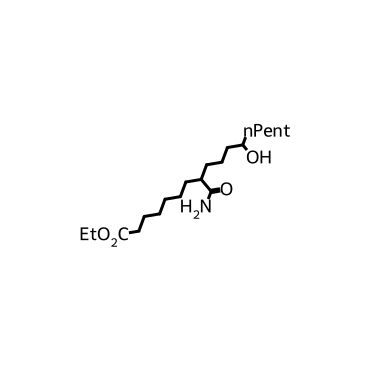 CCCCCC(O)CCCC(CCCCCCC(=O)OCC)C(N)=O